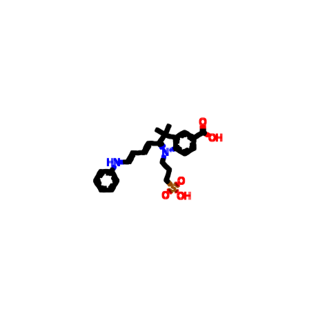 CC1(C)C(/C=C/C=C/Nc2ccccc2)=[N+](CCCS(=O)(=O)O)c2ccc(C(=O)O)cc21